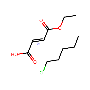 CCCCCCl.CCOC(=O)/C=C/C(=O)O